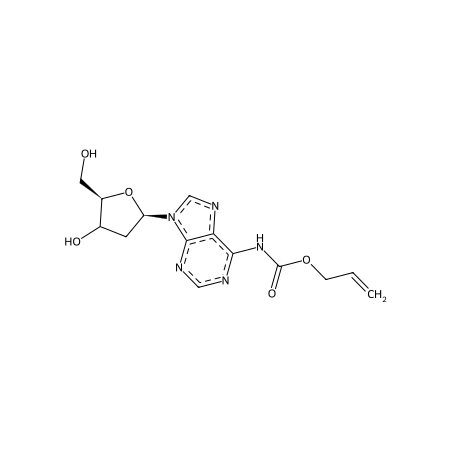 C=CCOC(=O)Nc1ncnc2c1ncn2[C@H]1CC(O)[C@@H](CO)O1